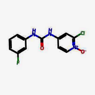 O=C(Nc1cccc(F)c1)Nc1cc[n+]([O-])c(Cl)c1